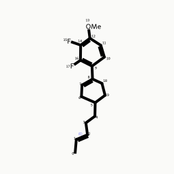 C/C=C/CCC1CC=C(c2ccc(OC)c(F)c2F)CC1